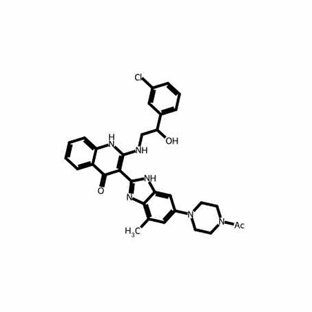 CC(=O)N1CCN(c2cc(C)c3nc(-c4c(NCC(O)c5cccc(Cl)c5)[nH]c5ccccc5c4=O)[nH]c3c2)CC1